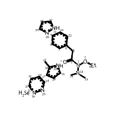 CCON(C(=O)Cc1ccccc1)N(C)C.Cc1ccc[nH]1.[SeH2].c1ccnnc1.c1cn[nH]c1